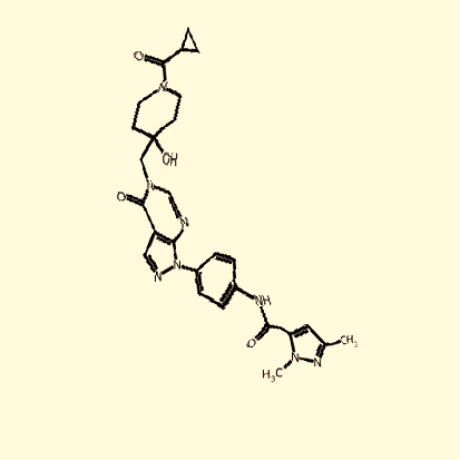 Cc1cc(C(=O)Nc2ccc(-n3ncc4c(=O)n(CC5(O)CCN(C(=O)C6CC6)CC5)cnc43)cc2)n(C)n1